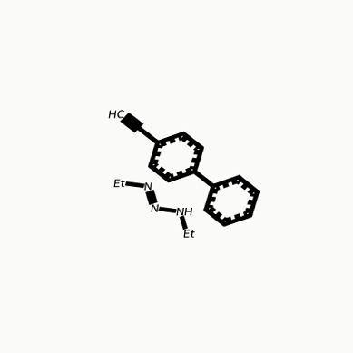 C#Cc1ccc(-c2ccccc2)cc1.CCN=NNCC